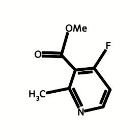 COC(=O)c1c(F)ccnc1C